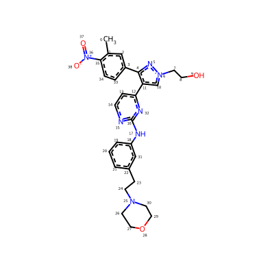 Cc1cc(-c2nn(CCO)cc2-c2ccnc(Nc3cccc(CCN4CCOCC4)c3)n2)ccc1[N+](=O)[O-]